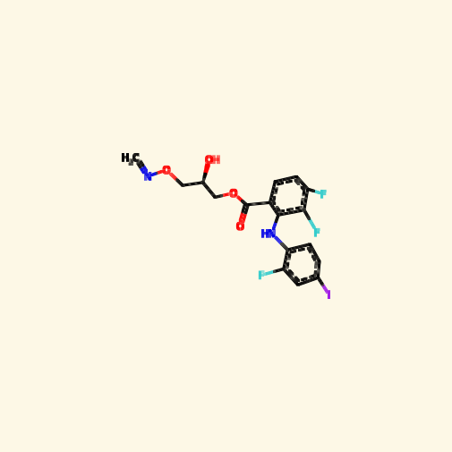 C=NOC[C@@H](O)COC(=O)c1ccc(F)c(F)c1Nc1ccc(I)cc1F